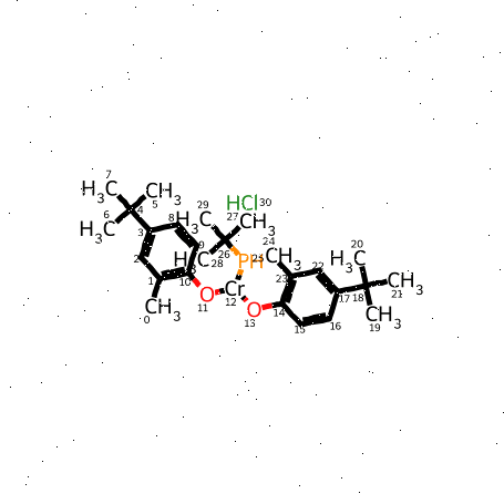 Cc1cc(C(C)(C)C)ccc1[O][Cr]([O]c1ccc(C(C)(C)C)cc1C)[PH]C(C)(C)C.Cl